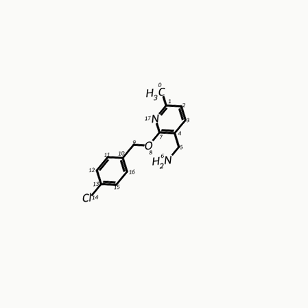 Cc1ccc(CN)c(OCc2ccc(Cl)cc2)n1